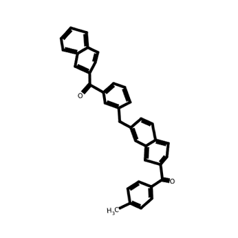 Cc1ccc(C(=O)c2ccc3ccc(Cc4cccc(C(=O)c5ccc6ccccc6c5)c4)cc3c2)cc1